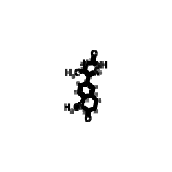 Cc1nc(=O)[nH]nc1-c1ccc2c(c1)CCC(=O)N2C